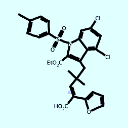 CCOC(=O)c1c(CC(C)(C)/C=C(/C(=O)O)c2ccco2)c2c(Cl)cc(Cl)cc2n1S(=O)(=O)c1ccc(C)cc1